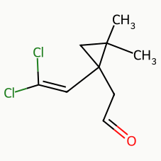 CC1(C)CC1(C=C(Cl)Cl)CC=O